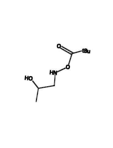 CC(O)CNOC(=O)C(C)(C)C